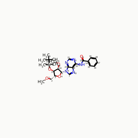 COC[C@H]1O[C@@H](n2cnc3c(NC(=O)c4ccccc4)ncnc32)[C@H](OC)[C@@H]1O[Si](C)(C)C(C)(C)C